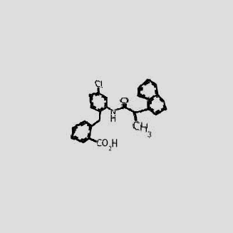 CC(C(=O)Nc1cc(Cl)ccc1Cc1ccccc1C(=O)O)c1cccc2ccccc12